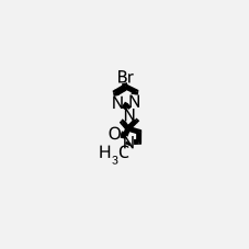 CN1CCC2(CN(c3ncc(Br)cn3)C2)C1=O